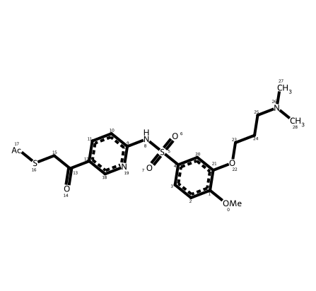 COc1ccc(S(=O)(=O)Nc2ccc(C(=O)CSC(C)=O)cn2)cc1OCCCN(C)C